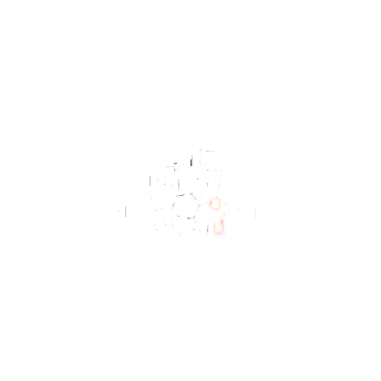 [2H]c1cc(C(C)(C)C)cc(C(C)(C([2H])([2H])[2H])C([2H])([2H])[2H])c1OC(C)=O